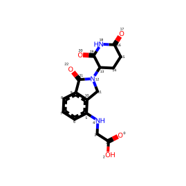 O=C(O)CNc1cccc2c1CN(C1CCC(=O)NC1=O)C2=O